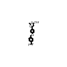 CCOC(CC(=O)O)c1ccc(OCc2ccc(C(F)F)cc2)cc1